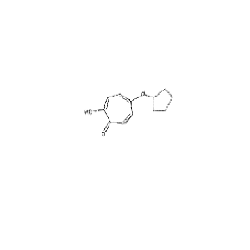 O=c1ccc(OC2CCCC2)ccc1O